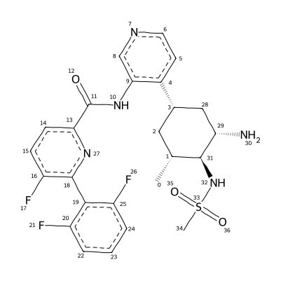 C[C@@H]1C[C@H](c2ccncc2NC(=O)c2ccc(F)c(-c3c(F)cccc3F)n2)C[C@H](N)[C@H]1NS(C)(=O)=O